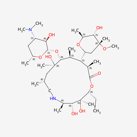 CC[C@H]1OC(=O)[C@H](C)[C@@H](C2C[C@@](C)(OC)[C@@H](O)[C@H](C)O2)[C@H](C)[C@@H](O[C@@H]2O[C@H](C)C[C@H](N(C)C)[C@H]2O)[C@](C)(O)C[C@@H](C)CN[C@H](C)[C@@H](O)[C@]1(C)O